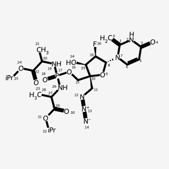 C=C1NC(=O)C=CN1[C@@H]1O[C@](CN=[N+]=[N-])(COP(=O)(NC(C)C(=O)OC(C)C)NC(C)C(=O)OC(C)C)[C@@H](O)[C@H]1F